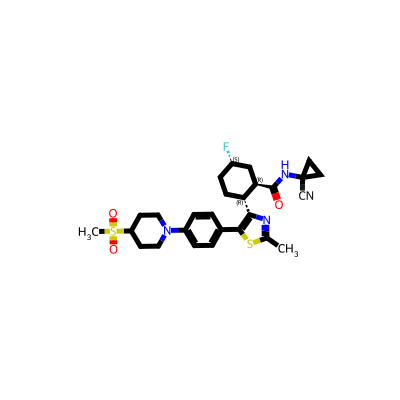 Cc1nc([C@@H]2CC[C@H](F)C[C@H]2C(=O)NC2(C#N)CC2)c(-c2ccc(N3CCC(S(C)(=O)=O)CC3)cc2)s1